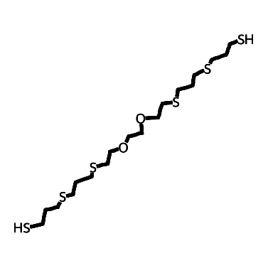 SCCCSCCCSCCOCCOCCSCCCSCCCS